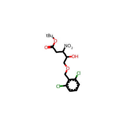 CC(C)(C)OC(=O)CC(C(O)COCc1c(Cl)cccc1Cl)[N+](=O)[O-]